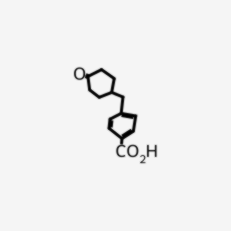 O=C1CCC(Cc2ccc(C(=O)O)cc2)CC1